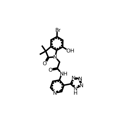 CC1(C)C(=O)N(CC(=O)Nc2ccncc2-c2nnn[nH]2)c2c(O)cc(Br)cc21